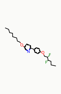 CCCCCCCCOc1ccc(-c2ccc(OC[C@@H](F)[C@H](F)CCC)cc2)nc1